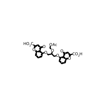 CC(=O)OCOC(COc1cccc2oc(C(=O)O)cc(=O)c12)COc1cccc2oc(C(=O)O)cc(=O)c12